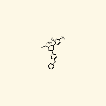 Cc1ccc(C2=CC(c3ccc(Oc4ccccc4)cc3)=NC3C(C#N)CNN23)c(C)c1